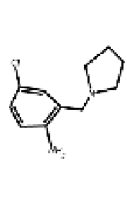 Nc1ccc(Cl)cc1CN1CCCC1